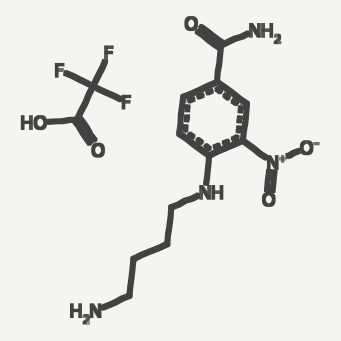 NCCCCNc1ccc(C(N)=O)cc1[N+](=O)[O-].O=C(O)C(F)(F)F